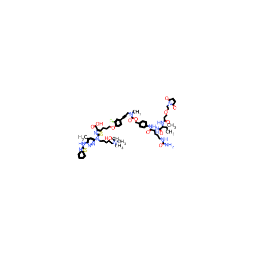 Cc1cc(N(CCCC(O)C[N+](C)(C)C)c2nc(C(=O)O)c(CCCOc3ccc(C#CCN(C)C(=O)OCc4ccc(NC(=O)C(CCCNC(N)=O)NC(=O)C(NC(=O)CCOCCN5C(=O)C=CC5=O)C(C)C)cc4)cc3F)s2)nnc1Nc1nc2ccccc2s1